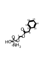 NP(=O)(O)OCOC(=O)Cc1ccccc1